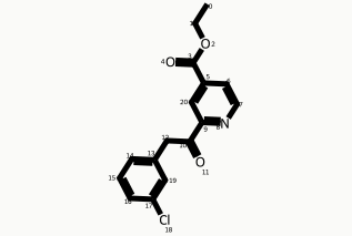 CCOC(=O)c1ccnc(C(=O)Cc2cccc(Cl)c2)c1